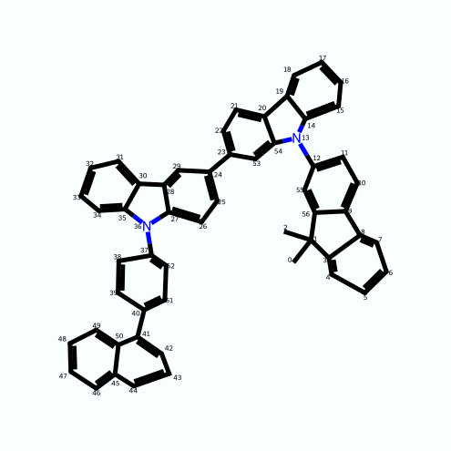 CC1(C)c2ccccc2-c2ccc(-n3c4ccccc4c4ccc(-c5ccc6c(c5)c5ccccc5n6-c5ccc(-c6cccc7ccccc67)cc5)cc43)cc21